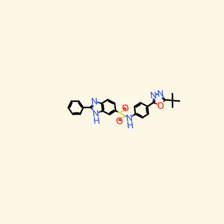 CC(C)(C)c1nnc(-c2ccc(NS(=O)(=O)c3ccc4nc(-c5ccccc5)[nH]c4c3)cc2)o1